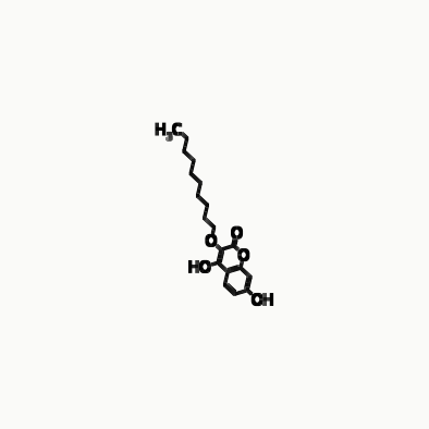 CCCCCCCCCCOc1c(O)c2ccc(O)cc2oc1=O